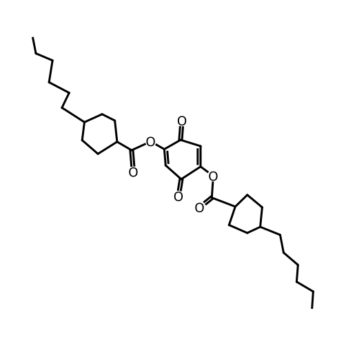 CCCCCCC1CCC(C(=O)OC2=CC(=O)C(OC(=O)C3CCC(CCCCCC)CC3)=CC2=O)CC1